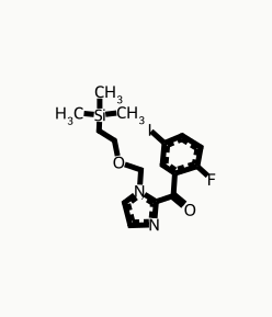 C[Si](C)(C)CCOCn1ccnc1C(=O)c1cc(I)ccc1F